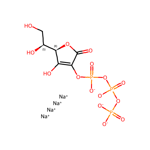 O=C1O[C@H]([C@@H](O)CO)C(O)=C1OP(=O)([O-])OP(=O)([O-])OP(=O)([O-])[O-].[Na+].[Na+].[Na+].[Na+]